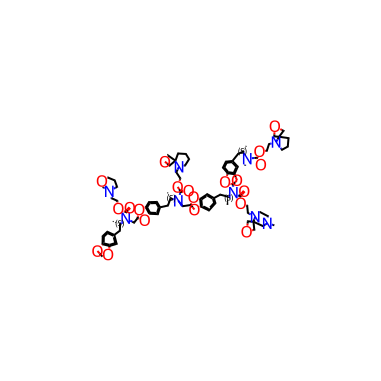 C[C@@H](Cc1ccc2c(c1)OC(N(C(=O)OCCN1CCN(C)CC13COC3)[C@@H](C)Cc1ccc3c(c1)OC(CN(C(=O)OCCN1CCCCC14COC4)[C@@H](C)Cc1ccc4c(c1)OC(CN(C(=O)OCCN1CCCOC1)[C@@H](C)Cc1ccc5c(c1)OCO5)O4)O3)O2)N(C)C(=O)OCCN1CCCC12COC2